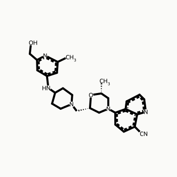 Cc1cc(NC2CCN(C[C@H]3CN(c4ccc(C#N)c5ncccc45)C[C@@H](C)O3)CC2)cc(CO)n1